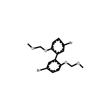 COCOc1ccc(Br)cc1-c1cc(Br)ccc1OCOC